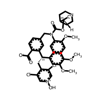 COc1ccc([C@H](Cc2c(Cl)c[n+](O)cc2Cl)c2cc(CN(C(=O)O[C@H]3CN4CCC3CC4)c3ccccc3OC)ccc2C(=O)[O-])cc1OC